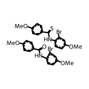 COc1ccc(C(=O)Nc2ccc(OC)cc2Br)cc1.COc1ccc(C(=S)Nc2ccc(OC)cc2Br)cc1